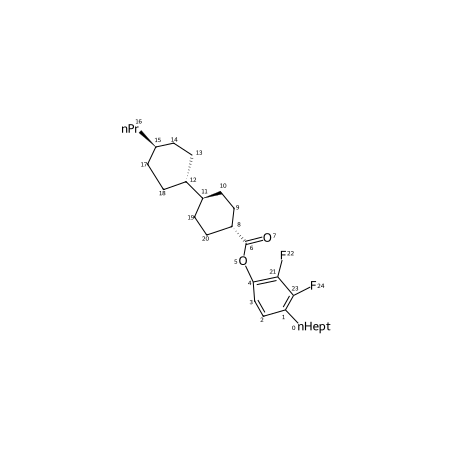 CCCCCCCc1ccc(OC(=O)[C@H]2CC[C@H]([C@H]3CC[C@H](CCC)CC3)CC2)c(F)c1F